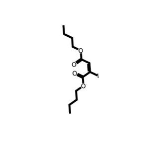 CCCCOC(=O)/C=C(/I)C(=O)OCCCC